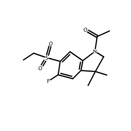 CCS(=O)(=O)c1cc2c(cc1F)C(C)(C)CN2C(C)=O